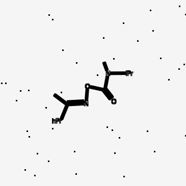 CCC/C(C)=N/OC(=O)N(C)C(C)C